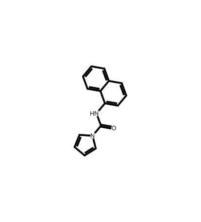 O=C(Nc1cccc2ccccc12)n1cccc1